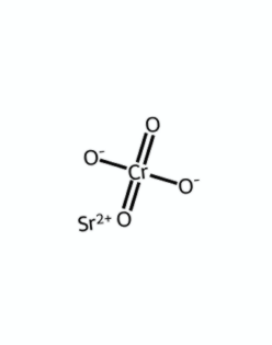 [O]=[Cr](=[O])([O-])[O-].[Sr+2]